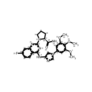 COc1cc(-n2cnc(Nc3nc(N4CCC[C@H]4C(N)=O)nc4cc(F)ccc34)c2)cc(OC)c1OC